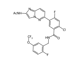 CC(=O)Nc1cn2nc(-c3cc(C(=O)NCc4cc(OC(F)(F)F)ccc4F)c(Cl)cc3F)ccc2n1